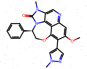 COc1cc2ncc3c4c2c(c1-c1cnn(C)c1)OC[C@@H](c1ccccc1)n4c(=O)n3C